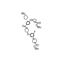 CC(C)(C)OC(=O)N1CCN(c2cc(F)cc(OC3CCN(C(=O)c4ccc(O[C@H]5CCN(C(=O)OC(C)(C)C)C5)c([C@H]5CC[C@H](C(C)(C)C)CC5)c4)CC3)c2)CC1